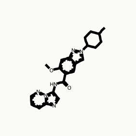 COc1cc2nn(C3CCC(C)CC3)cc2cc1C(=O)Nc1cnc2cccnn12